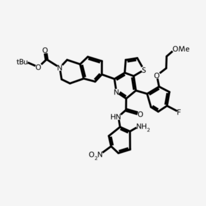 COCCOc1cc(F)ccc1-c1c(C(=O)Nc2cc([N+](=O)[O-])ccc2N)nc(-c2ccc3c(c2)CCN(C(=O)OC(C)(C)C)C3)c2ccsc12